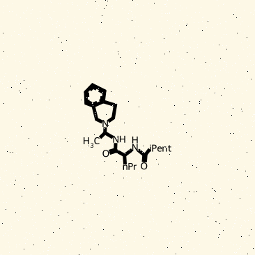 CCCC(C)C(=O)NC(CCC)C(=O)NC(C)N1CCc2ccccc2C1